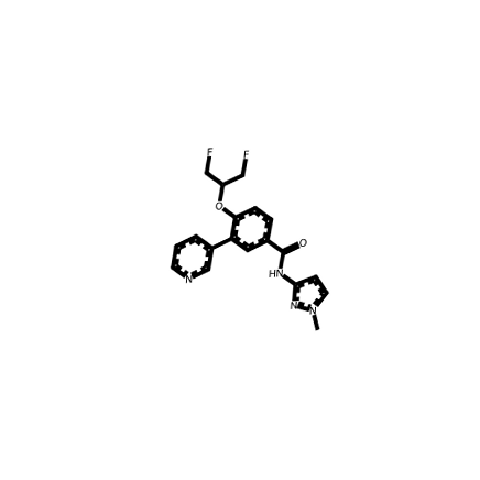 Cn1ccc(NC(=O)c2ccc(OC(CF)CF)c(-c3cccnc3)c2)n1